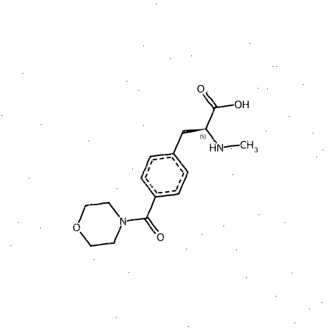 CN[C@@H](Cc1ccc(C(=O)N2CCOCC2)cc1)C(=O)O